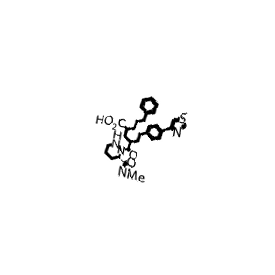 CNC(=O)[C@@H]1CCCNN1C(=O)C(CCc1ccc(-c2cscn2)cc1)CC(CCCc1ccccc1)C(=O)O